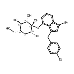 CCc1ccc(Cc2cn(C(C)C)c3cccc(O[C@]4(O)[C@H](O)O[C@H](CO)[C@@H](O)[C@@H]4O)c23)cc1